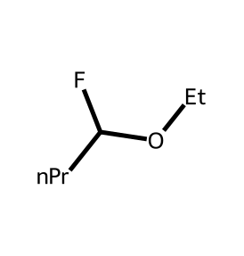 CCCC(F)OCC